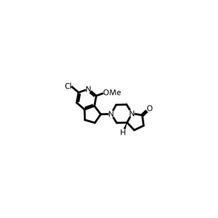 COc1nc(Cl)cc2c1C(N1CCN3C(=O)CC[C@@H]3C1)CC2